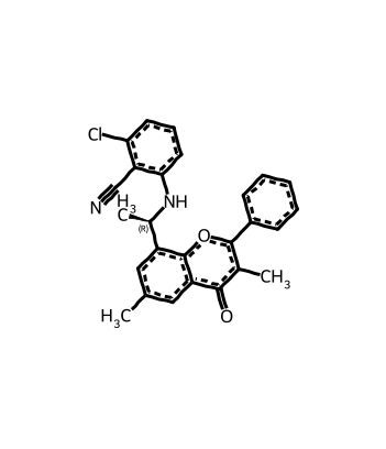 Cc1cc([C@@H](C)Nc2cccc(Cl)c2C#N)c2oc(-c3ccccc3)c(C)c(=O)c2c1